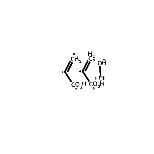 C=CC(=O)O.C=CC(=O)O.CCO